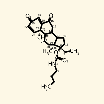 CCCCNC(=O)O[C@@]1(CC)CCC2C3CC(=O)C4=CC(=O)C=C[C@]4(C)C3CC[C@@]21C